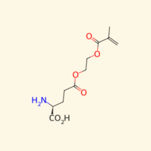 C=C(C)C(=O)OCCOC(=O)CC[C@H](N)C(=O)O